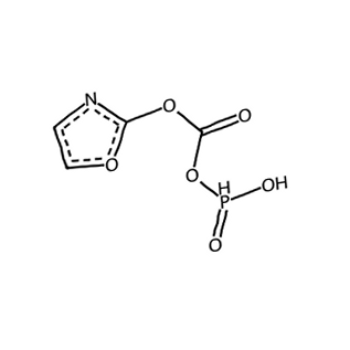 O=C(Oc1ncco1)O[PH](=O)O